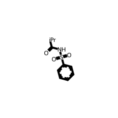 CC(C)C(=O)NS(=O)(=O)c1ccccc1